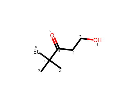 CCC(C)(C)C(=O)CCO